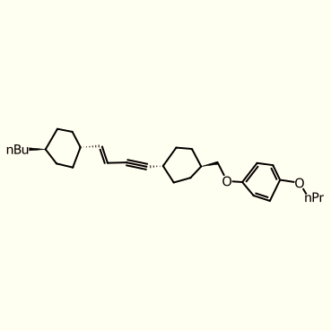 CCCC[C@H]1CC[C@H](C=CC#C[C@H]2CC[C@H](COc3ccc(OCCC)cc3)CC2)CC1